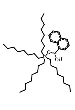 CCCCCCCCP(CCCCCCCC)(CCCCCCCC)(CCCCCCCC)OP(O)c1cccc2ccccc12